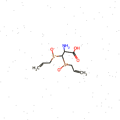 C=CC[S+]([O-])C(C(N)C(=O)O)[S+]([O-])CC=C